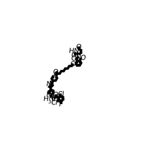 CC(Oc1cc(-c2cnn(C3CCN(C(=O)CCCCCCCOc4cccc5c4C(=O)N(C4CCC(=O)NC4=O)C5=O)CC3)c2)cnc1N)c1c(Cl)ccc(F)c1Cl